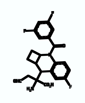 NC(CC=O)(C(=O)O)C1c2cc(F)ccc2N(C(=O)c2cc(F)cc(F)c2)C2CCC21